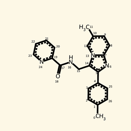 Cc1ccc(-c2nc3ccc(C)cn3c2CNC(=O)c2ccccn2)cc1